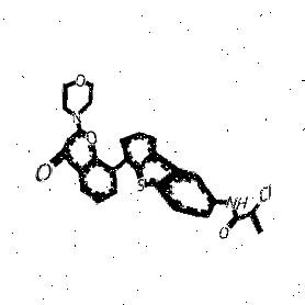 CC(Cl)C(=O)Nc1ccc2sc3c(-c4cccc5c(=O)cc(N6CCOCC6)oc45)cccc3c2c1